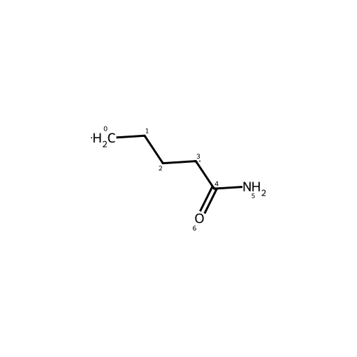 [CH2]CC[CH]C(N)=O